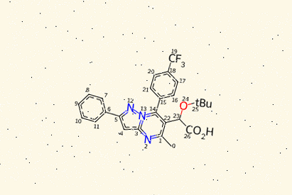 Cc1nc2cc(-c3ccccc3)nn2c(-c2ccc(C(F)(F)F)cc2)c1C(OC(C)(C)C)C(=O)O